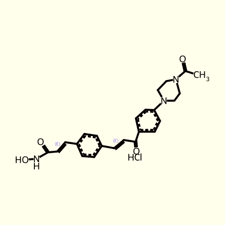 CC(=O)N1CCN(c2ccc(C(=O)/C=C/c3ccc(/C=C/C(=O)NO)cc3)cc2)CC1.Cl